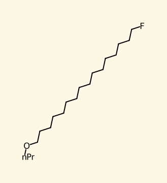 [CH2]CCOCCCCCCCCCCCCCCCCF